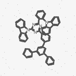 c1ccc(-c2cc(-c3ccccc3)cc(-c3cccc(-c4nc(-c5ccccc5-n5c6ccccc6c6ccccc65)nc(-n5c6ccccc6c6ccccc65)n4)c3)c2)cc1